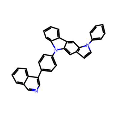 c1ccc(-n2ccc3cc4c(cc32)c2ccccc2n4-c2ccc(-c3cncc4ccccc34)cc2)cc1